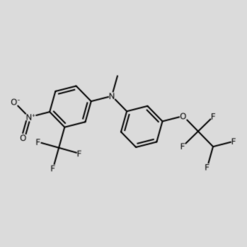 CN(c1cccc(OC(F)(F)C(F)F)c1)c1ccc([N+](=O)[O-])c(C(F)(F)F)c1